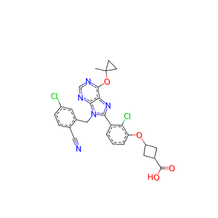 CC1(Oc2ncnc3c2nc(-c2cccc(OC4CC(C(=O)O)C4)c2Cl)n3Cc2cc(Cl)ccc2C#N)CC1